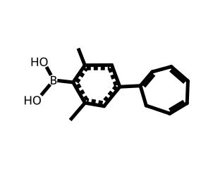 Cc1cc(C2=CC=CC=CC2)cc(C)c1B(O)O